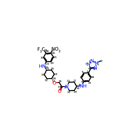 Cn1nnc(-c2ccc(NC3CCN(C(=O)CO[C@H]4CC[C@H](Nc5ccc([N+](=O)[O-])c(C(F)(F)F)c5)CC4)CC3)cc2)n1